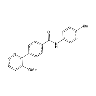 CCC(C)c1ccc(NC(=O)c2ccc(-c3ncccc3OC)cc2)cc1